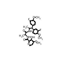 COc1ccc(C(c2ccc(OC)c(F)c2)[C@H](C)NC(=O)[C@H](C)NC(=O)c2nccc(OC)c2O)cc1F